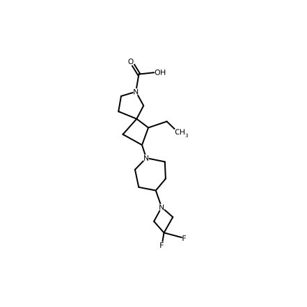 CCC1C(N2CCC(N3CC(F)(F)C3)CC2)CC12CCN(C(=O)O)C2